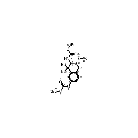 CCC1(CC)c2cc(OC(=O)OC(C)(C)C)ccc2C[C@@H](SC(C)=O)[C@@H]1NC(=O)OC(C)(C)C